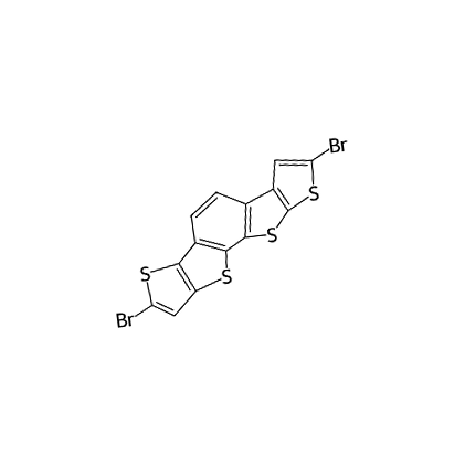 Brc1cc2c(s1)sc1c2ccc2c3sc(Br)cc3sc21